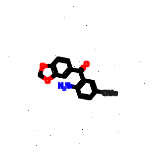 COc1ccc(N)c(C(=O)c2ccc3c(c2)OCO3)c1